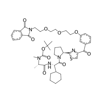 C[C@@H](C(=O)N[C@H](C(=O)N1CCC[C@H]1c1nc(C(=O)c2cccc(OCCOCCOCCN3C(=O)c4ccccc4C3=O)c2)cs1)C1CCCCC1)N(C)C(=O)OC(C)(C)C